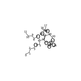 CCCCOCC(OCCCC)C1=C2OC(C)(C)OC2COS(=O)(=O)O1